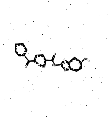 O=C(Nc1nc2ccc([N+](=O)[O-])cc2s1)c1ccc(C(=O)c2ccccc2)cc1